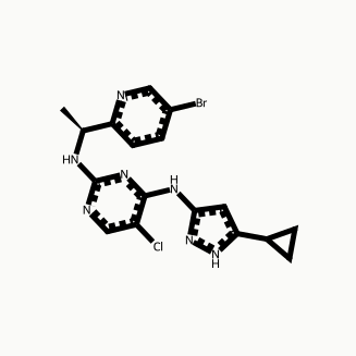 C[C@H](Nc1ncc(Cl)c(Nc2cc(C3CC3)[nH]n2)n1)c1ccc(Br)cn1